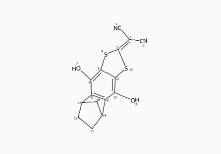 N#CC(C#N)=C1Sc2c(O)c3c(c(O)c2S1)C1CCC3C1